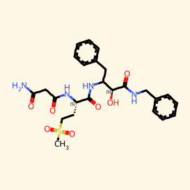 CS(=O)(=O)CC[C@H](NC(=O)CC(N)=O)C(=O)NC(Cc1ccccc1)[C@H](O)C(=O)NCc1ccccc1